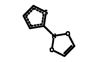 C1=CON(c2cccs2)O1